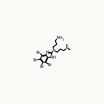 CN(C)CCCN(CCCN)c1nc2c(Br)c(Br)c(Br)c(Br)c2[nH]1